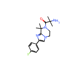 CC(C)(N)C(=O)N1CCn2cc(-c3ccc(F)cc3)nc2C1(C)C